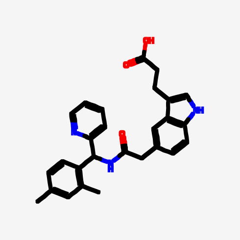 Cc1ccc(C(NC(=O)Cc2ccc3[nH]cc(CCC(=O)O)c3c2)c2ccccn2)c(C)c1